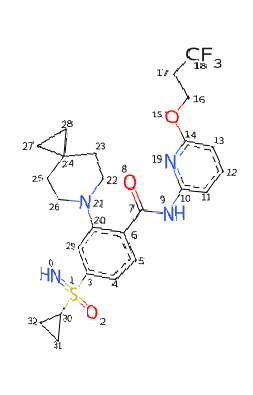 N=S(=O)(c1ccc(C(=O)Nc2cccc(OCCC(F)(F)F)n2)c(N2CCC3(CC2)CC3)c1)C1CC1